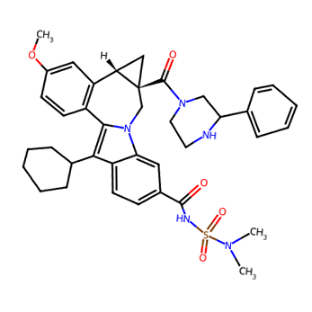 COc1ccc2c(c1)[C@@H]1C[C@]1(C(=O)N1CCNC(c3ccccc3)C1)Cn1c-2c(C2CCCCC2)c2ccc(C(=O)NS(=O)(=O)N(C)C)cc21